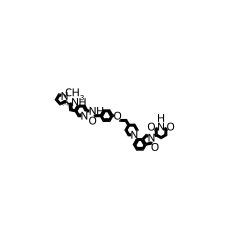 CN1CCC[C@@H]1c1cc2cnc(NC(=O)c3ccc(OCCC4CCN(c5cccc6c5CN(C5CCC(=O)NC5=O)C6=O)CC4)cc3)cc2[nH]1